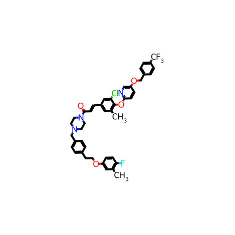 Cc1cc(OCCc2ccc(CN3CCN(C(=O)/C=C/c4cc(C)c(Oc5ccc(OCc6ccc(C(F)(F)F)cc6)cn5)c(Cl)c4)CC3)cc2)ccc1F